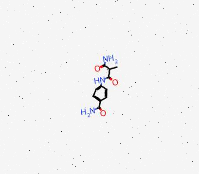 C[C](C(N)=O)C(=O)Nc1ccc(C(N)=O)cc1